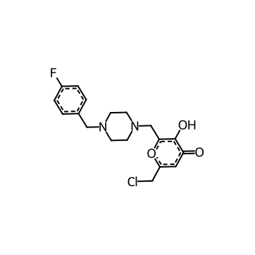 O=c1cc(CCl)oc(CN2CCN(Cc3ccc(F)cc3)CC2)c1O